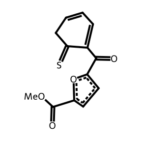 COC(=O)c1ccc(C(=O)C2=CC=CCC2=S)o1